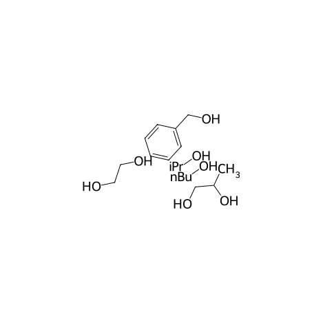 CC(C)O.CC(O)CO.CCCCO.OCCO.OCc1ccccc1